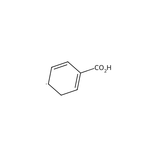 O=C(O)C1=CC[CH]C=C1